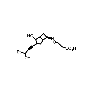 CCC(O)C#CC1CC2C(=NOCCC(=O)O)CC2C1O